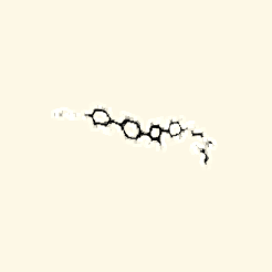 C=CC(=O)N(C)CCOC1CCC(c2ccc(C3CCC(C4CCC(CCCCC)CC4)CC3)cc2C)CC1